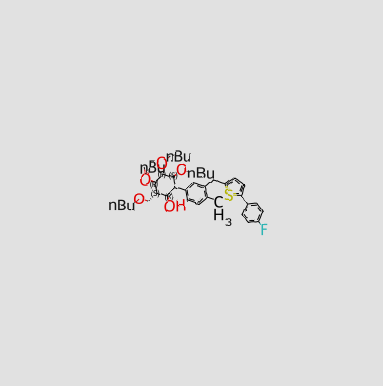 CCCCOC[C@@H]1[C@@H](OCCCC)[C@H](OCCCC)[C@@H](OCCCC)C(c2ccc(C)c(Cc3ccc(-c4ccc(F)cc4)s3)c2)[C@H]1O